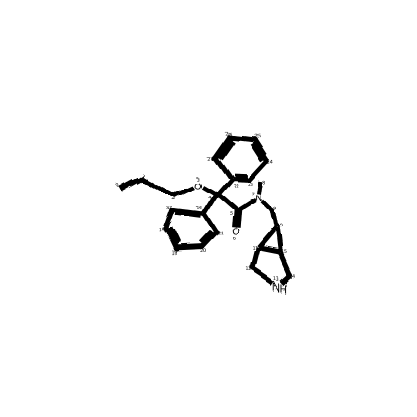 CCCOC(C(=O)N(C)CC1C2CNCC21)(c1ccccc1)c1ccccc1